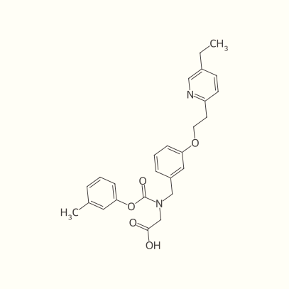 CCc1ccc(CCOc2cccc(CN(CC(=O)O)C(=O)Oc3cccc(C)c3)c2)nc1